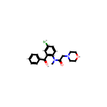 CN(C(=O)CN1CCOCC1)c1ccc(Br)cc1C(=O)c1ccccc1